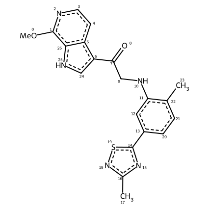 COc1nccc2c(C(=O)CNc3cc(-c4nc(C)ns4)ccc3C)c[nH]c12